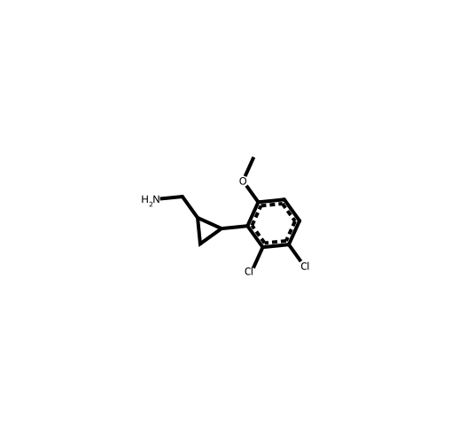 COc1ccc(Cl)c(Cl)c1C1CC1CN